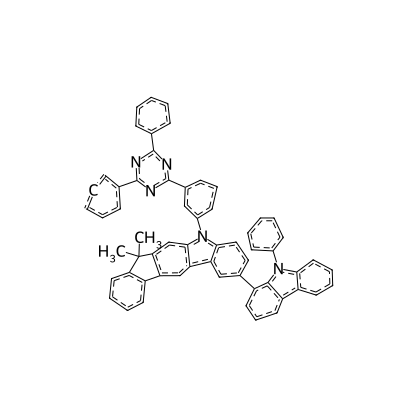 CC1(C)c2ccccc2-c2cc3c4cc(-c5cccc6c7ccccc7n(-c7ccccc7)c56)ccc4n(-c4cccc(-c5nc(-c6ccccc6)nc(-c6ccccc6)n5)c4)c3cc21